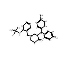 O=C1CCN(Cc2ccccc2OC(F)(F)F)CC1C(c1ccc(F)cc1)c1ccc(F)cc1